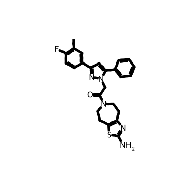 Cc1cc(-c2cc(-c3ccccc3)n(CC(=O)N3CCc4nc(N)sc4CC3)n2)ccc1F